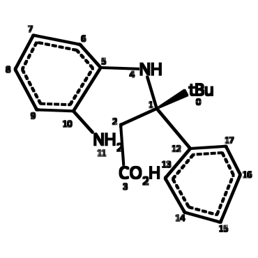 CC(C)(C)[C@@](CC(=O)O)(Nc1ccccc1N)c1ccccc1